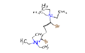 CC[N+](CC)(CC)C(Br)CCCC(Br)[N+](CC)(CC)CC